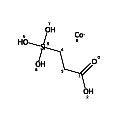 O=C(O)CC[Si](O)(O)O.[Co]